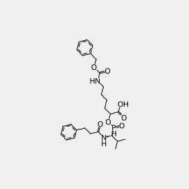 CC(C)[C@@H](NC(=O)CCc1ccccc1)[PH](=O)OC(CCCCNC(=O)OCc1ccccc1)C(=O)O